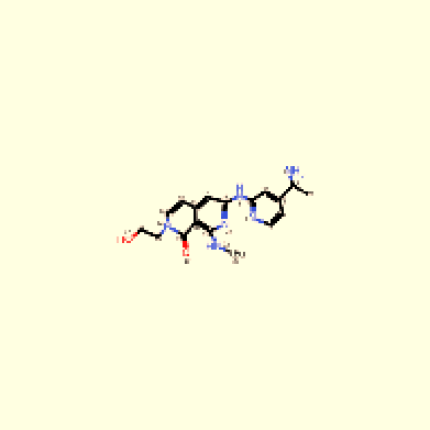 CC(N)c1ccnc(Nc2cc3ccn(CCO)c(=O)c3c(NC(C)(C)C)n2)c1